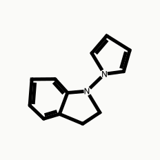 c1ccc2c(c1)CCN2n1cccc1